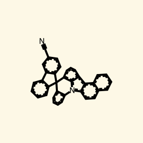 N#Cc1ccc2c(c1)-c1ccccc1C21c2ccccc2-n2c3ccc4ccccc4c3c3cccc1c32